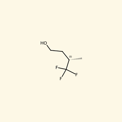 C[C@@H](CCO)C(F)(F)F